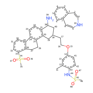 C1=Cc2ccccc2C=CN1.Cc1cc(OCCC2Cc3c(ccc4c3CCc3c-4cccc3S(C)(=O)=O)C(N)C2)ccc1NS(C)(=O)=O